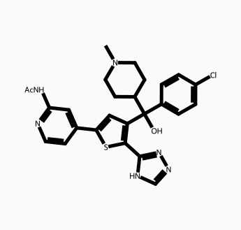 CC(=O)Nc1cc(-c2cc(C(O)(c3ccc(Cl)cc3)C3CCN(C)CC3)c(-c3nnc[nH]3)s2)ccn1